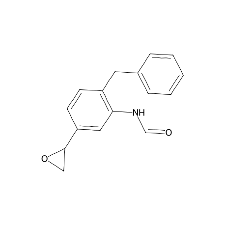 O=CNc1cc(C2CO2)ccc1Cc1ccccc1